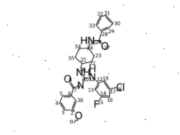 COc1cccc(C(=O)/N=C(/Nc2cc(F)cc(Cl)c2)NC2CCC(NC(=O)c3ccccc3)CC2)c1